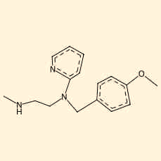 CNCCN(Cc1ccc(OC)cc1)c1ccccn1